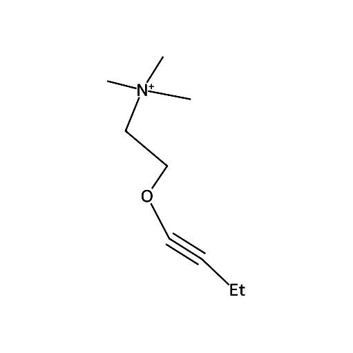 CCC#COCC[N+](C)(C)C